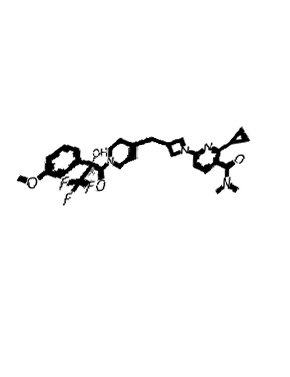 COc1cccc([C@@](O)(C(=O)N2CCC(CC3CN(c4ccc(C(=O)N(C)C)c(C5CC5)n4)C3)CC2)C(F)(F)F)c1